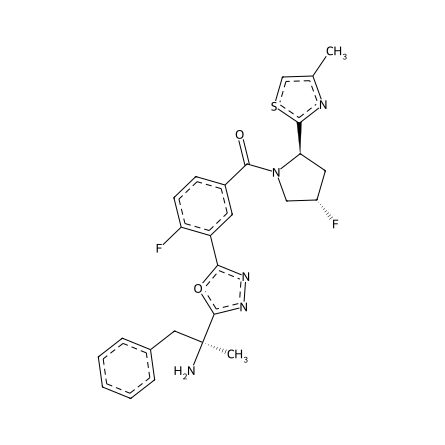 Cc1csc([C@H]2C[C@H](F)CN2C(=O)c2ccc(F)c(-c3nnc([C@@](C)(N)Cc4ccccc4)o3)c2)n1